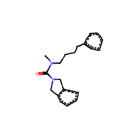 CN(CCCCc1ccccc1)C(=O)N1Cc2ccccc2C1